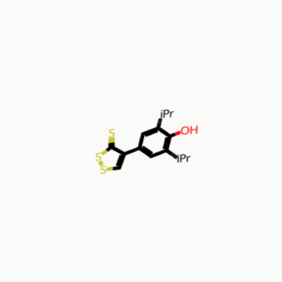 CC(C)c1cc(-c2cssc2=S)cc(C(C)C)c1O